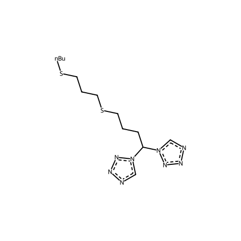 CCCCSCCCSCCCC(n1cnnn1)n1cnnn1